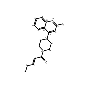 CC/C=C/C(=O)N1CCN(c2cc(C)nc3ccccc23)CC1